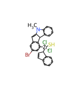 CN1C2=Cc3cc(Br)c[c]([Zr]([SH])([Cl])([Cl])[CH]4C=Cc5ccccc54)c3C2c2ccccc21